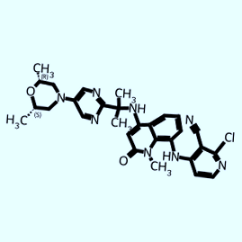 C[C@@H]1CN(c2cnc(C(C)(C)Nc3cc(=O)n(C)c4c(Nc5ccnc(Cl)c5C#N)cccc34)nc2)C[C@H](C)O1